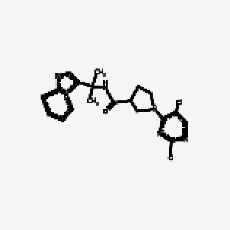 CC(C)(NC(=O)C1CCN(c2nc(Cl)ncc2Cl)C1)c1cnc2ccccn12